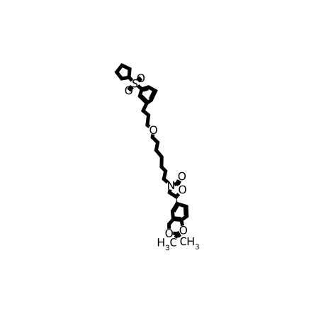 CC1(C)OCc2cc([C@@H]3CN(CCCCCCCOCCCc4cccc(S(=O)(=O)C5CCCC5)c4)C(=O)O3)ccc2O1